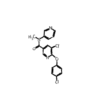 CN(C(=O)c1cnc(Oc2ccc(Cl)cc2)c(Cl)c1)c1cccnc1